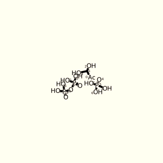 CC(=O)C(O)O.O=P(O)(O)O.O=P(O)(O)OP(=O)(O)O